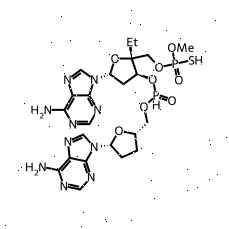 CC[C@]1(COP(=O)(S)OC)O[C@@H](n2cnc3c(N)ncnc32)C[C@@H]1O[PH](=O)OC[C@@H]1CC[C@H](n2cnc3c(N)ncnc32)O1